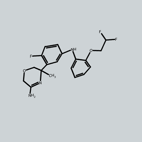 CC1(c2cc(Nc3ccccc3OCC(F)F)ccc2F)COCC(N)=N1